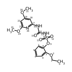 CCOc1ccccc1OS(=O)(=O)NC(=O)Nc1cc(OC)cc(OC)n1